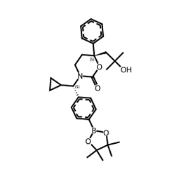 CC(C)(O)C[C@]1(c2ccccc2)CCN([C@H](c2ccc(B3OC(C)(C)C(C)(C)O3)cc2)C2CC2)C(=O)O1